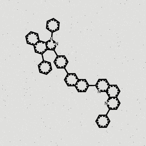 c1ccc(-c2ccc3ccc4ccc(-c5ccc6ccc(-c7ccc(-c8nn(-c9ccccc9)c9c8c(-c8ccccc8)cc8ccccc89)cc7)cc6c5)nc4c3n2)cc1